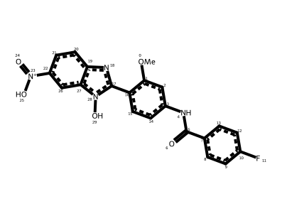 COc1cc(NC(=O)c2ccc(F)cc2)ccc1-c1nc2ccc([N+](=O)O)cc2n1O